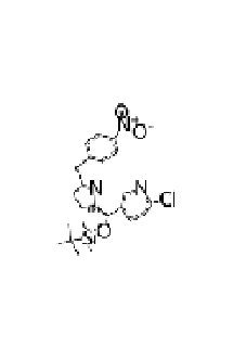 CC(C)(C)[Si](C)(C)OC(c1ccc(Cl)nc1)[C@H]1CCC(Cc2ccc([N+](=O)[O-])cc2)=N1